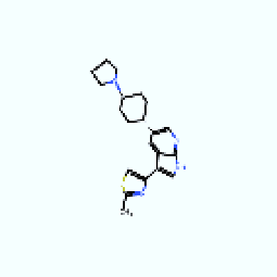 Cc1nc(-c2c[nH]c3ncc([C@H]4CC[C@H](N5CCCC5)CC4)cc23)cs1